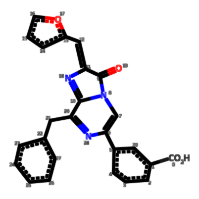 O=C(O)c1cccc(C2=CN3C(=O)/C(=C/c4ccco4)N=C3C(Cc3ccccc3)=N2)c1